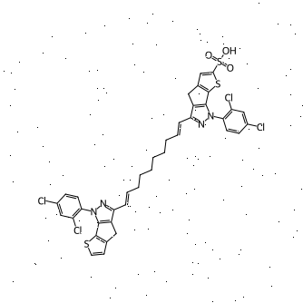 O=S(=O)(O)c1cc2c(s1)-c1c(c(/C=C/CCCCCC/C=C/c3nn(-c4ccc(Cl)cc4Cl)c4c3Cc3ccsc3-4)nn1-c1ccc(Cl)cc1Cl)C2